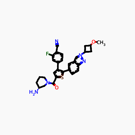 COC1CC(n2cc3cc(-c4sc(C(=O)N5CCC[C@@H](N)C5)cc4-c4ccc(C#N)c(F)c4)ccc3n2)C1